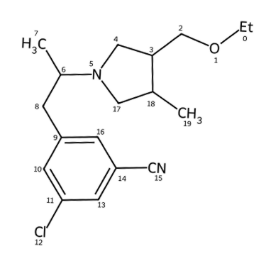 CCOCC1CN(C(C)Cc2cc(Cl)cc(C#N)c2)CC1C